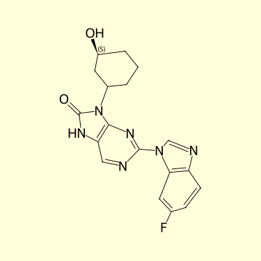 O=c1[nH]c2cnc(-n3cnc4ccc(F)cc43)nc2n1C1CCC[C@H](O)C1